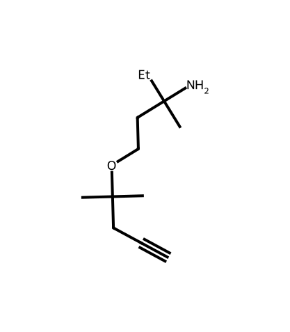 C#CCC(C)(C)OCCC(C)(N)CC